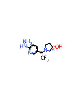 NNc1ccc([C@H](N2CC[C@@H](O)C2)C(F)(F)F)cn1